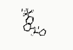 NS(=O)(=O)c1ccc2c(c1)CCCC2NC(=O)C1CCCC1